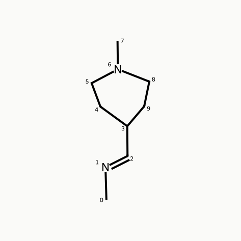 CN=CC1CCN(C)CC1